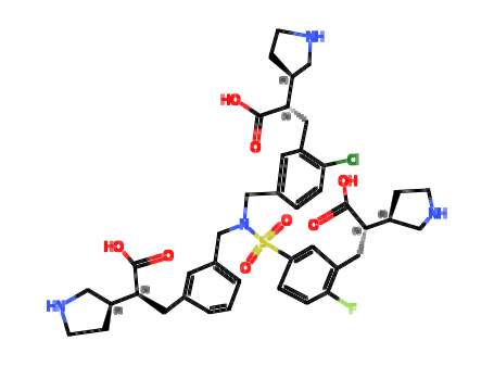 O=C(O)[C@@H](Cc1cccc(CN(Cc2ccc(Cl)c(C[C@H](C(=O)O)[C@H]3CCNC3)c2)S(=O)(=O)c2ccc(F)c(C[C@H](C(=O)O)[C@H]3CCNC3)c2)c1)[C@H]1CCNC1